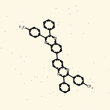 FC(F)(F)c1ccc(-c2nc3cc(-c4ccc5nc(-c6ccccc6)c(-c6ccc(C(F)(F)F)cc6)nc5c4)ccc3nc2-c2ccccc2)cc1